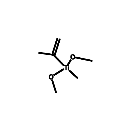 C=[C](C)[Ti]([CH3])([O]C)[O]C